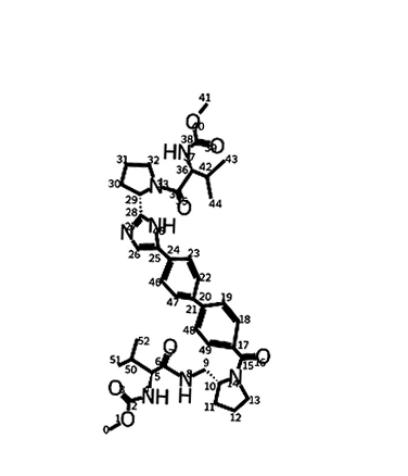 COC(=O)N[C@H](C(=O)NC[C@H]1CCCN1C(=O)c1ccc(-c2ccc(-c3cnc([C@@H]4CCCN4C(=O)[C@@H](NC(=O)OC)C(C)C)[nH]3)cc2)cc1)C(C)C